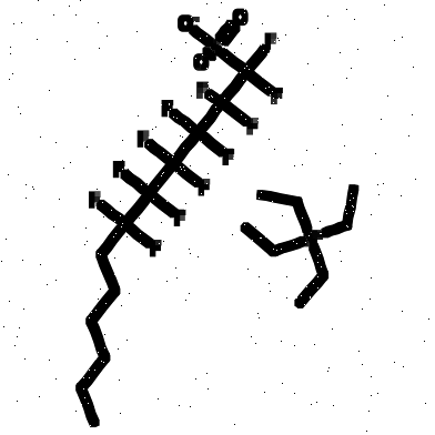 CCCCCCC(F)(F)C(F)(F)C(F)(F)C(F)(F)C(F)(F)C(F)(F)S(=O)(=O)[O-].CC[N+](CC)(CC)CC